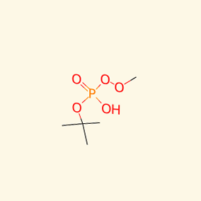 COOP(=O)(O)OC(C)(C)C